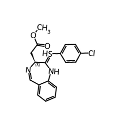 COC(=O)C[C@@H]1N=Cc2ccccc2NC1=[SH]c1ccc(Cl)cc1